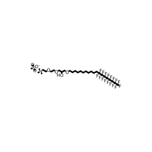 CS(=O)(=O)[O-].C[N+](C)(C)CCOCCOCC(O)COCCCCCCCCCCCC(F)(F)C(F)(F)C(F)(F)C(F)(F)C(F)(F)C(F)(F)C(F)(F)C(F)(F)F